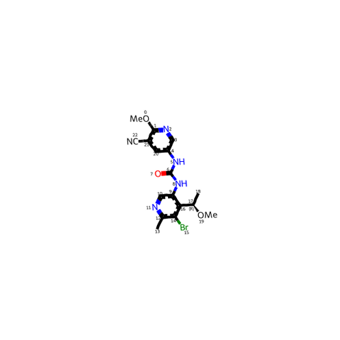 COc1ncc(NC(=O)Nc2cnc(C)c(Br)c2[C@@H](C)OC)cc1C#N